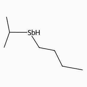 CCC[CH2][SbH][CH](C)C